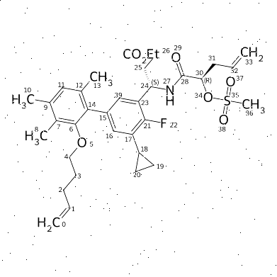 C=CCCCOc1c(C)c(C)cc(C)c1-c1cc(C2CC2)c(F)c([C@H](CC(=O)OCC)NC(=O)[C@@H](CC=C)OS(C)(=O)=O)c1